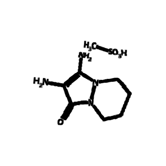 CS(=O)(=O)O.Nc1c(N)n2n(c1=O)CCCC2